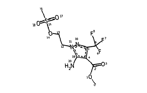 COC(=O)c1c(C(F)(F)F)nn(CCOS(C)(=O)=O)c1N